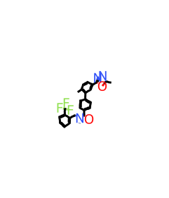 Cc1nnc(-c2ccc(C)c(-c3ccc(C(=O)N(C)Cc4ccccc4C(F)(F)F)cc3)c2)o1